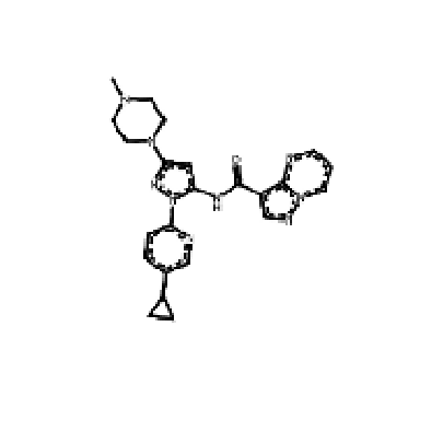 CN1CCN(c2cc(NC(=O)c3cnn4cccnc34)n(-c3ccc(C4CC4)cn3)n2)CC1